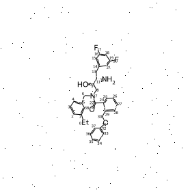 CCc1cccc(CN(C[C@@H](O)[C@@H](N)Cc2cc(F)cc(F)c2)C(=O)c2ccccc2COc2ccccc2)c1